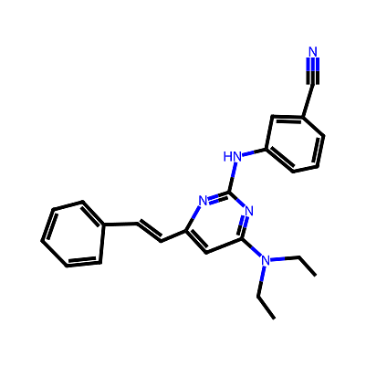 CCN(CC)c1cc(/C=C/c2ccccc2)nc(Nc2cccc(C#N)c2)n1